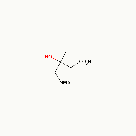 CNCC(C)(O)CC(=O)O